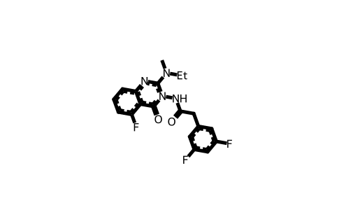 CCN(C)c1nc2cccc(F)c2c(=O)n1NC(=O)Cc1cc(F)cc(F)c1